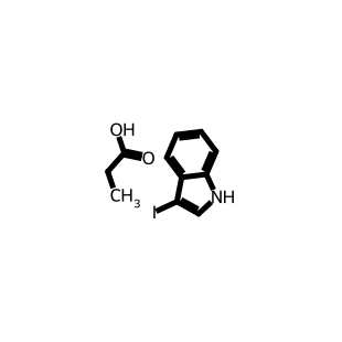 CCC(=O)O.Ic1c[nH]c2ccccc12